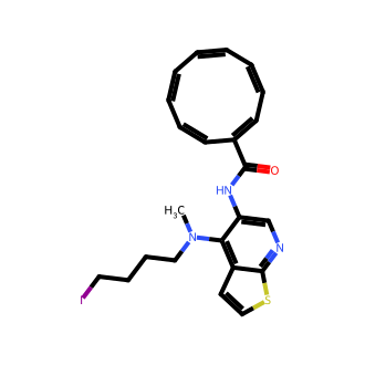 CN(CCCCI)c1c(NC(=O)c2ccccccccc2)cnc2sccc12